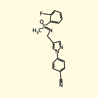 CS(=O)(=NCc1cnn(-c2ccc(C#N)cc2)c1)c1ccccc1F